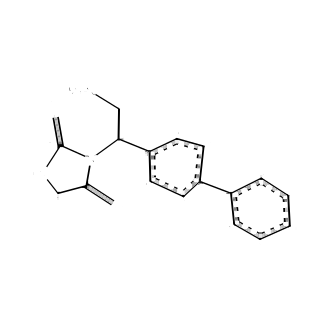 CNCC(c1ccc(-c2ccccc2)cc1)N1C(=O)CSC1=O